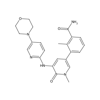 Cc1c(C(N)=O)cccc1-c1cc(Nc2ccc(N3CCOCC3)cn2)c(=O)n(C)c1